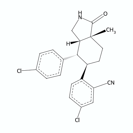 C[C@@]12CC[C@@H](c3ccc(Cl)cc3C#N)[C@H](c3ccc(Cl)cc3)[C@@H]1CNC2=O